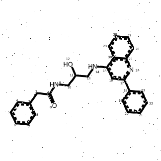 O=C(Cc1ccccc1)NCC(O)CNc1cc(-c2ccccc2)nc2ccccc12